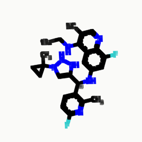 Cc1nc(F)ccc1[C@H](Nc1cc(F)c2ncc(C#N)c(NCC(C)(C)C)c2c1)C1=CN(C2(C(F)(F)F)CC2)NN1